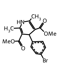 COC(=O)C1=C(C)NC(C)=C(C(=O)OC)C1c1ccc(Br)cc1